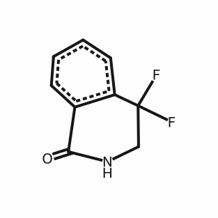 O=C1NCC(F)(F)c2ccccc21